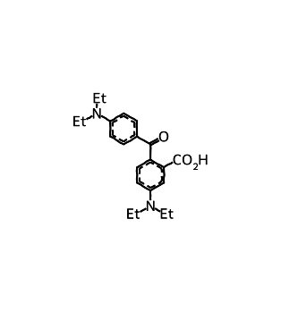 CCN(CC)c1ccc(C(=O)c2ccc(N(CC)CC)cc2C(=O)O)cc1